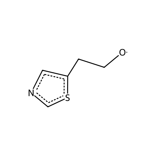 [O]CCc1cncs1